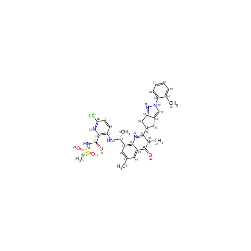 Cc1cc([C@@H](C)Nc2ccc(Cl)nc2C(=O)NS(C)(=O)=O)c2nc(N3Cc4cn(-c5ccccc5C)nc4C3)n(C)c(=O)c2c1